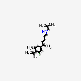 C=C(C)CN/C=C/CCC(C)C1=CC(F)=C(C(=C)CC)C(=C)C1